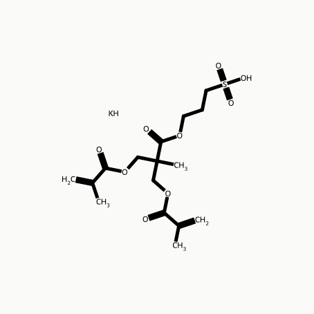 C=C(C)C(=O)OCC(C)(COC(=O)C(=C)C)C(=O)OCCCS(=O)(=O)O.[KH]